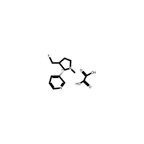 CN1CCC(CF)[C@H]1c1cccnc1.O=C(O)C(=O)O